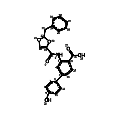 O=C(Nc1cc(-c2ccc(O)cc2)ccc1C(=O)O)C1=COC(Cc2ccccc2)O1